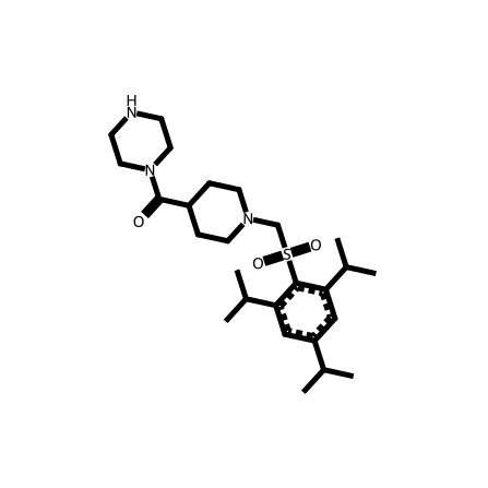 CC(C)c1cc(C(C)C)c(S(=O)(=O)CN2CCC(C(=O)N3CCNCC3)CC2)c(C(C)C)c1